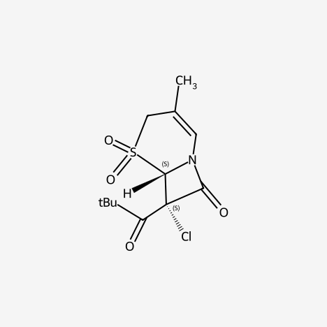 CC1=CN2C(=O)[C@@](Cl)(C(=O)C(C)(C)C)[C@@H]2S(=O)(=O)C1